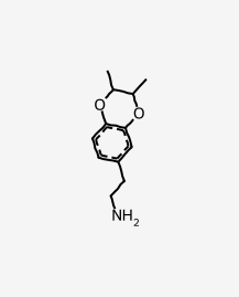 CC1Oc2ccc(CCN)cc2OC1C